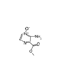 COC(=O)c1ncc[n+]([O-])c1N